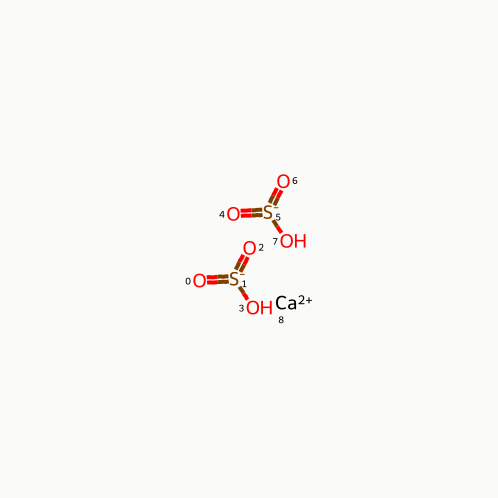 O=[S-](=O)O.O=[S-](=O)O.[Ca+2]